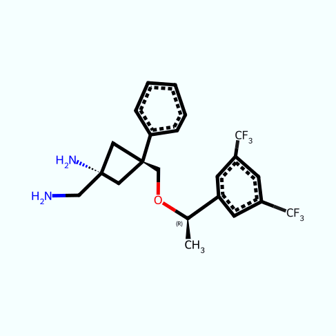 C[C@@H](OC[C@]1(c2ccccc2)C[C@](N)(CN)C1)c1cc(C(F)(F)F)cc(C(F)(F)F)c1